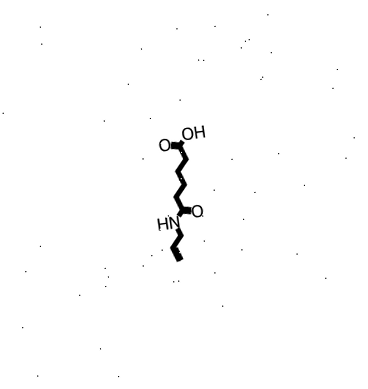 C=CCNC(=O)CCCCC(=O)O